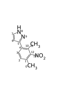 Cc1ccc(-c2cc[nH]n2)c(C)c1[N+](=O)[O-]